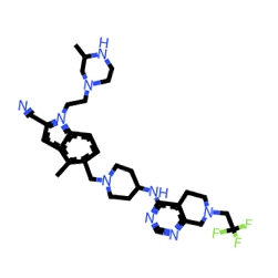 Cc1c(CN2CCC(Nc3ncnc4c3CCN(CC(F)(F)F)C4)CC2)ccc2c1cc(C#N)n2CCN1CCNC(C)C1